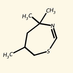 CC1CSC=NC(C)(C)C1